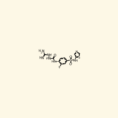 N=C(N)NNC(=O)Nc1ccc(S(=O)(=O)Nc2cncs2)cc1F